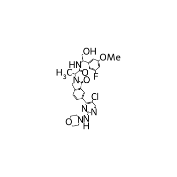 COc1cc(F)cc(C(CO)NC(=O)C(C)N2Cc3ccc(-c4nc(NN5CCOCC5)ncc4Cl)cc3C2=O)c1